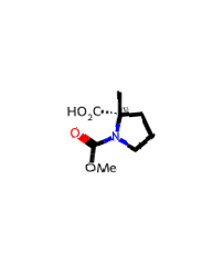 COC(=O)N1CCC[C@@]1(C)C(=O)O